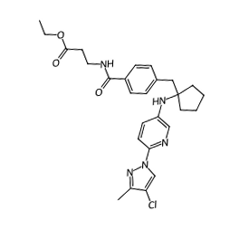 CCOC(=O)CCNC(=O)c1ccc(CC2(Nc3ccc(-n4cc(Cl)c(C)n4)nc3)CCCC2)cc1